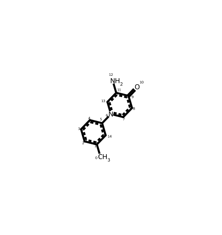 Cc1cccc(-n2ccc(=O)c(N)c2)c1